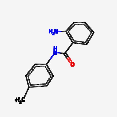 [CH2]c1ccc(NC(=O)c2ccccc2N)cc1